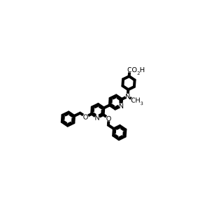 CN(c1ccc(-c2ccc(OCc3ccccc3)nc2OCc2ccccc2)cn1)C1CCC(C(=O)O)CC1